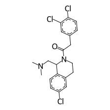 CN(C)CC1c2ccc(Cl)cc2CCN1C(=O)Cc1ccc(Cl)c(Cl)c1